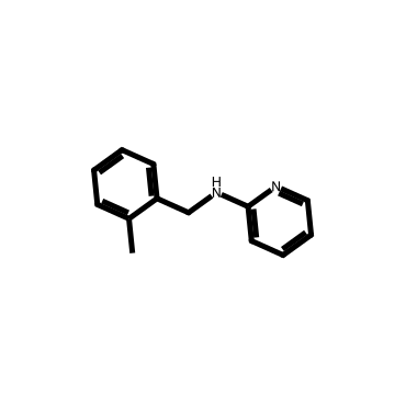 Cc1ccccc1CNc1ccccn1